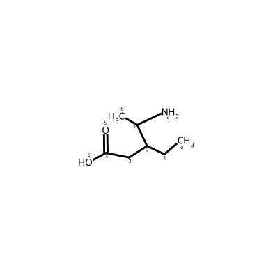 CCC(CC(=O)O)C(C)N